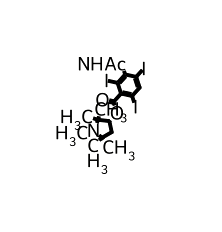 CC(=O)Nc1c(I)cc(I)c(C(=O)OC2CC(C)(C)N(C)C2(C)C)c1I